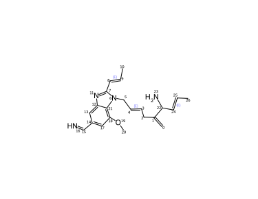 C=C(C/C=C/Cn1c(/C=C/C)nc2cc(C=N)cc(OC)c21)C(N)/C=C/C